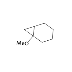 COC12CCCCC1C2